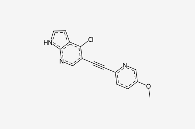 COc1ccc(C#Cc2cnc3[nH]ccc3c2Cl)nc1